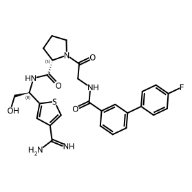 N=C(N)c1csc([C@@H](CO)NC(=O)[C@@H]2CCCN2C(=O)CNC(=O)c2cccc(-c3ccc(F)cc3)c2)c1